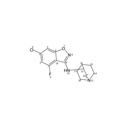 Fc1cc(Cl)cc2onc(NC3CN4CCC3CC4)c12